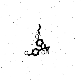 CCCCOc1ccc(C(O)(c2ccc(C=O)cc2)C2(C)CC2)cc1